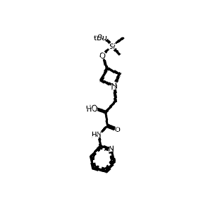 CC(C)(C)[Si](C)(C)OC1CN(CC(O)C(=O)Nc2ccccn2)C1